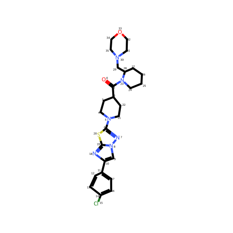 O=C(C1CCN(c2nn3cc(-c4ccc(Cl)cc4)nc3s2)CC1)N1CCCCC1CN1CCOCC1